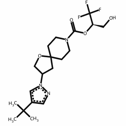 CC(C)(C)c1cnn(C2COC3(CCN(C(=O)O[C@H](CO)C(F)(F)F)CC3)C2)c1